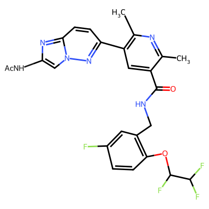 CC(=O)Nc1cn2nc(-c3cc(C(=O)NCc4cc(F)ccc4OC(F)C(F)F)c(C)nc3C)ccc2n1